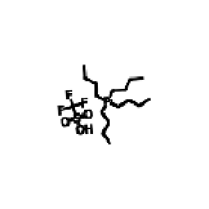 CCCC[P](CCCC)(CCCC)CCCC.O=S(=O)(O)C(F)(F)F